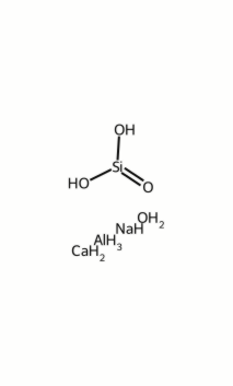 O.O=[Si](O)O.[AlH3].[CaH2].[NaH]